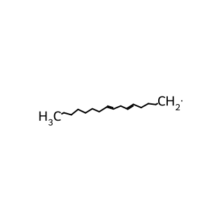 [CH2]CCCC=CCC=CCCCCCCC